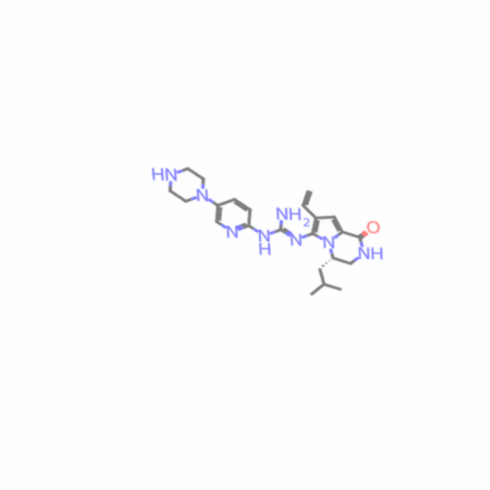 C=Cc1cc2n(c1/N=C(\N)Nc1ccc(N3CCNCC3)cn1)[C@@H](CC(C)C)CNC2=O